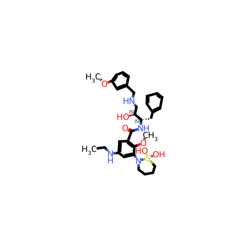 CCNc1cc(C(=O)N[C@@H](Cc2ccccc2)[C@@H](O)CNCc2cccc(OC)c2)c(OC)c(N2CCCCS2(O)O)c1